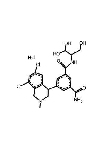 CN1Cc2c(Cl)cc(Cl)cc2C(c2cc(C(N)=O)cc(C(=O)NC(CO)C(O)O)c2)C1.Cl